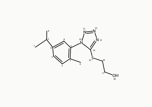 Cc1ccc(C(C)C)cc1-n1nnnc1SCCO